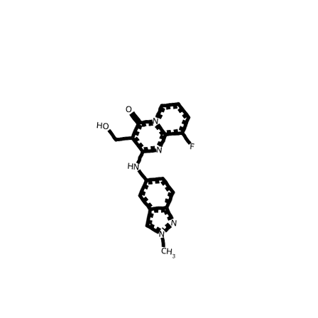 Cn1cc2cc(Nc3nc4c(F)cccn4c(=O)c3CO)ccc2n1